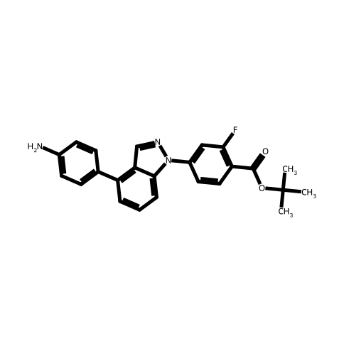 CC(C)(C)OC(=O)c1ccc(-n2ncc3c(-c4ccc(N)cc4)cccc32)cc1F